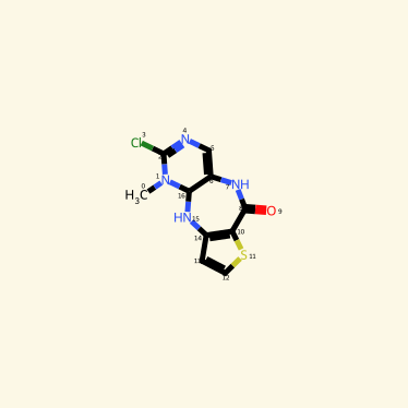 CN1C(Cl)=NC=C2NC(=O)c3sccc3NC21